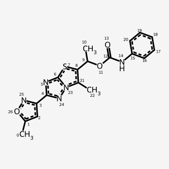 Cc1cc(-c2nc3sc(C(C)OC(=O)Nc4ccccc4)c(C)n3n2)no1